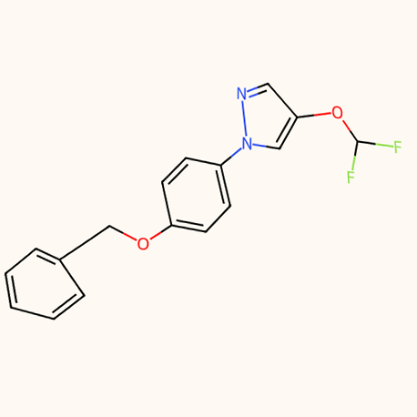 FC(F)Oc1cnn(-c2ccc(OCc3ccccc3)cc2)c1